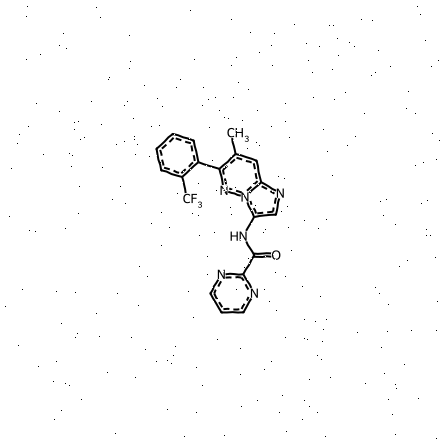 Cc1cc2ncc(NC(=O)c3ncccn3)n2nc1-c1ccccc1C(F)(F)F